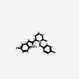 Cc1ccc(CN2C(C)CCCC2c2cc3cc(F)ccc3[nH]2)cc1